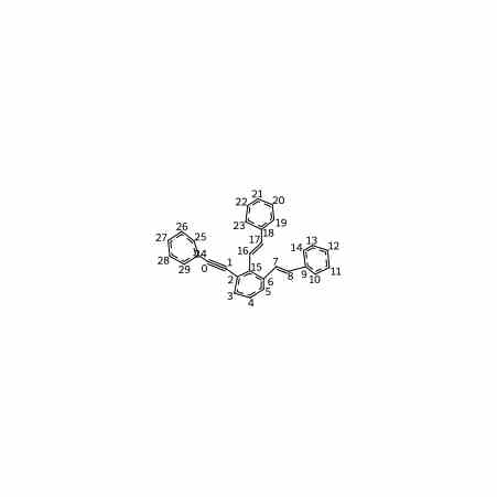 C(#Cc1cccc(C=Cc2ccccc2)c1C=Cc1ccccc1)c1ccccc1